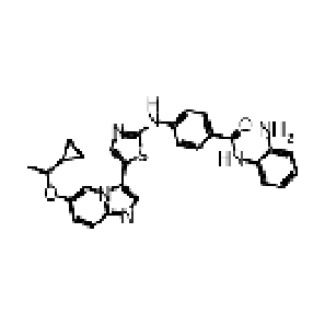 CC(Oc1ccc2ncc(-c3cnc(Nc4ccc(C(=O)Nc5ccccc5N)cc4)s3)n2c1)C1CC1